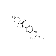 C[C@@H](Oc1ccc(N2CCC3(CCNCC3)C2=O)cc1)C(F)(F)F